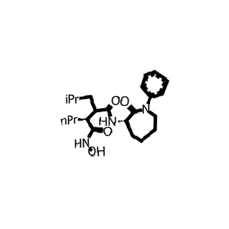 CCC[C@H](C(=O)NO)C(CC(C)C)C(=O)N[C@H]1CCCCN(c2ccccc2)C1=O